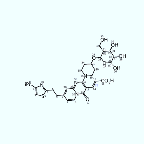 CC(C)c1csc(CCc2ccn3c(=O)c(/C=C/C(=O)O)c(N4CCC(OC5O[C@@H](O)[C@@H](O)[C@H](O)[C@@H]5CO)CC4)nc3c2)n1